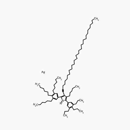 CCCCCCCCCCCCCCCCCCCCCCCCCCCCC#CC1=C(c2cc(CCCCCC)c(CCCCCC)c(CCCCCC)c2)[N+](=[N-])C(c2cc(CCC)c(CCC)c(CCC)c2)=C1CCCCC.[Pd]